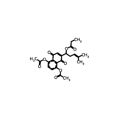 CCC(=O)OC(CC=C(C)C)C1=CC(=O)c2c(OC(C)=O)ccc(OC(C)=O)c2C1=O